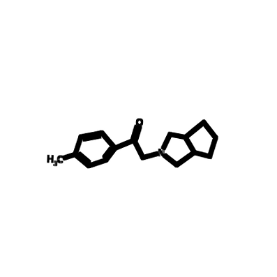 Cc1ccc(C(=O)CN2CC3CCCC3C2)cc1